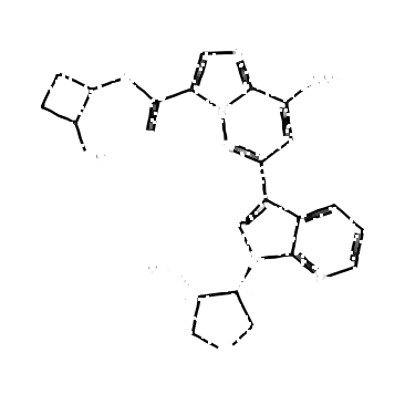 CNc1cc(-c2cn([C@H]3COC[C@@H]3OC)c3ncccc23)nn2c(C(=O)NC3CCC3OC)cnc12